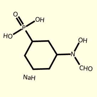 O=CN(O)C1CCCC(P(=O)(O)O)C1.[NaH]